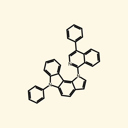 c1ccc(-c2cnc(-n3ccc4ccc5c(c6ccccc6n5-c5ccccc5)c43)c3ccccc23)cc1